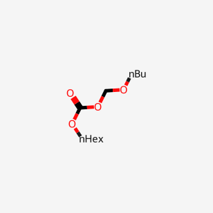 CCCCCCOC(=O)OCOCCCC